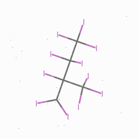 I[C](I)C(I)(C(I)(I)I)C(I)(I)C(I)(I)I